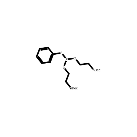 CCCCCCCCCCCCOP(SCCCCCCCCCCCC)Sc1ccccc1